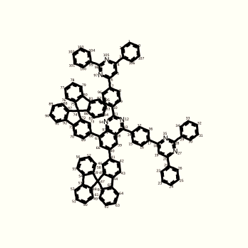 c1ccc(-c2cc(-c3ccc(-c4nc(-c5ccc(-c6cc(-c7ccccc7)nc(-c7ccccc7)n6)cc5)c5cc(-c6ccc7c(c6)C6(c8ccccc8-c8ccccc86)c6ccccc6-7)cc(-c6ccc7c(c6)C6(c8ccccc8-c8ccccc86)c6ccccc6-7)c5n4)cc3)nc(-c3ccccc3)n2)cc1